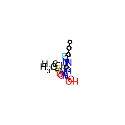 CC(C)(C)c1ccc(C(=O)N[C@@H](Cc2ccc(-c3ncc(-c4ccc(-c5ccc(C6CCCC6)cc5)cc4F)cn3)cc2)C(=O)N2CC(C(=O)O)C2)s1